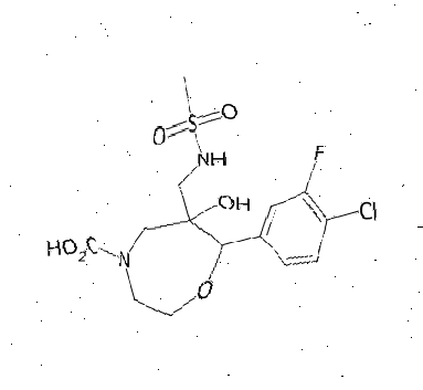 CS(=O)(=O)NCC1(O)CN(C(=O)O)CCOC1c1ccc(Cl)c(F)c1